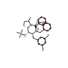 CC1CC[C@@H]([C@@H](O[Si](C)(C)C)[C@H](Cc2cc(F)cc(F)c2)N(Cc2ccccc2)Cc2ccccc2)N1C(=O)OC(C)(C)C